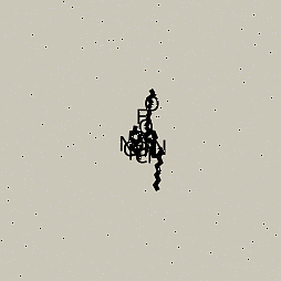 CCCCCCCc1cnc(-c2ccc(OCC(F)CCOCCC)cc2)nc1.Cc1ccc(S(=O)(=O)[N-]Cl)cc1.[Na+]